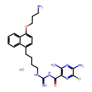 Cl.N=C(NCCCCc1ccc(OCCCN)c2ccccc12)NC(=O)c1nc(Cl)c(N)nc1N